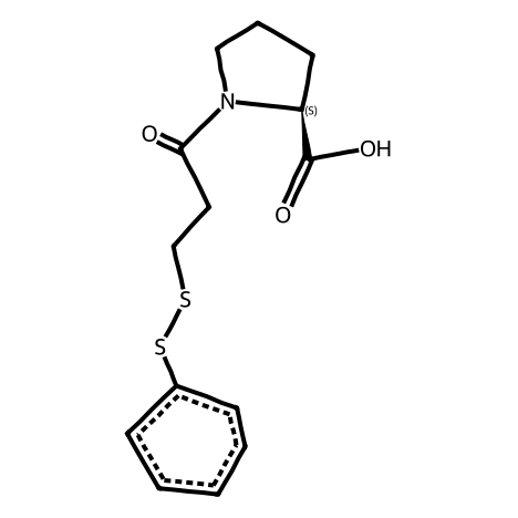 O=C(O)[C@@H]1CCCN1C(=O)CCSSc1ccccc1